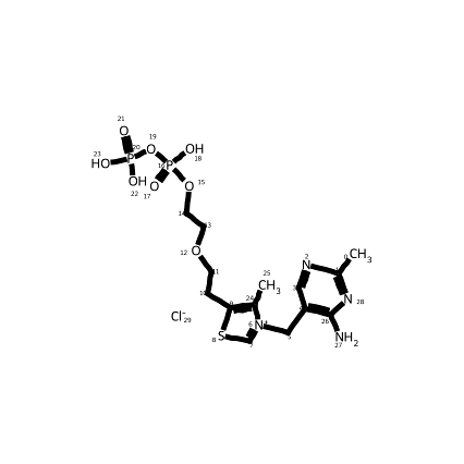 Cc1ncc(C[n+]2csc(CCOCCOP(=O)(O)OP(=O)(O)O)c2C)c(N)n1.[Cl-]